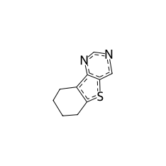 c1ncc2sc3c(c2n1)CCCC3